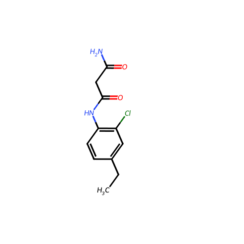 CCc1ccc(NC(=O)CC(N)=O)c(Cl)c1